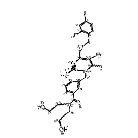 Cc1nc(OCc2ccc(F)cc2F)c(Br)c(=O)n1Cc1cccc(C(=O)N(CCO)CCO)c1